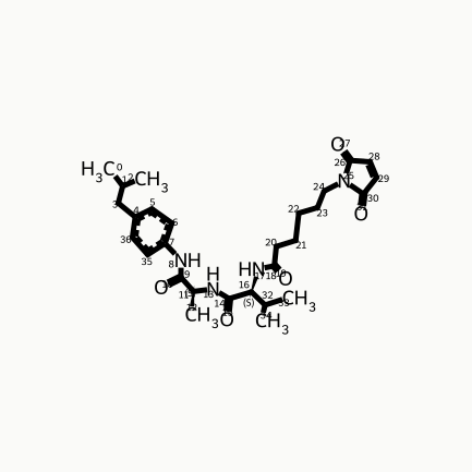 CC(C)Cc1ccc(NC(=O)[C@H](C)NC(=O)[C@@H](NC(=O)CCCCCN2C(=O)C=CC2=O)C(C)C)cc1